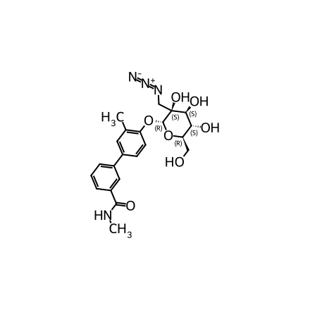 CNC(=O)c1cccc(-c2ccc(O[C@H]3O[C@H](CO)[C@@H](O)[C@H](O)[C@@]3(O)CN=[N+]=[N-])c(C)c2)c1